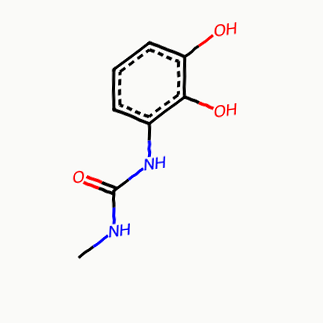 CNC(=O)Nc1cccc(O)c1O